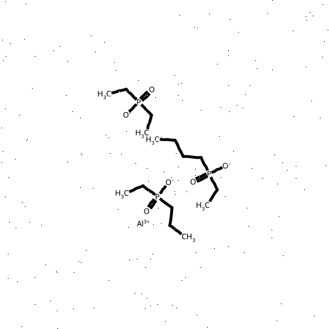 CCCCP(=O)([O-])CC.CCCP(=O)([O-])CC.CCP(=O)([O-])CC.[Al+3]